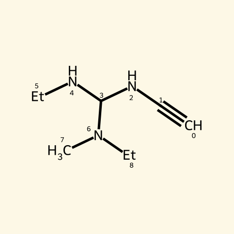 C#CNC(NCC)N(C)CC